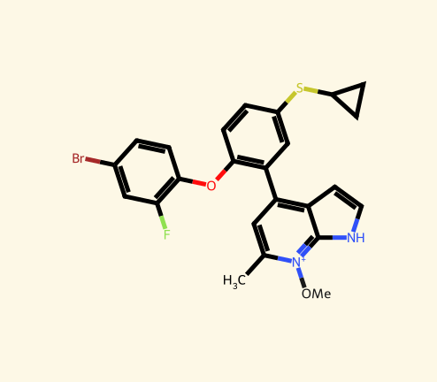 CO[n+]1c(C)cc(-c2cc(SC3CC3)ccc2Oc2ccc(Br)cc2F)c2cc[nH]c21